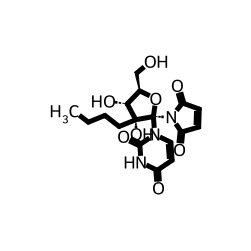 CCCC[C@@]1(O)[C@H](O)[C@@H](CO)O[C@@]1(N1C(=O)C=CC1=O)n1ccc(=O)[nH]c1=O